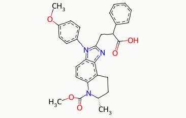 COC(=O)N1c2ccc3c(nc(CC(C(=O)O)c4ccccc4)n3-c3ccc(OC)cc3)c2CC[C@@H]1C